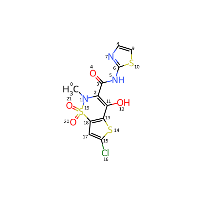 CN1C(C(=O)Nc2nccs2)=C(O)c2sc(Cl)cc2S1(=O)=O